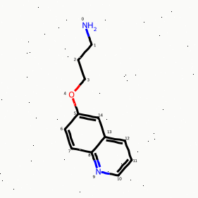 NCCCOc1ccc2ncccc2c1